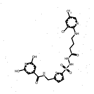 O=C(CCCNc1ncc(C(F)(F)F)cc1Cl)NNS(=O)(=O)c1ccc(CNC(=O)c2cc(O)nc(O)c2)s1